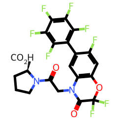 O=C(O)[C@@H]1CCCN1C(=O)CN1C(=O)C(F)(F)Oc2cc(F)c(-c3c(F)c(F)c(F)c(F)c3F)cc21